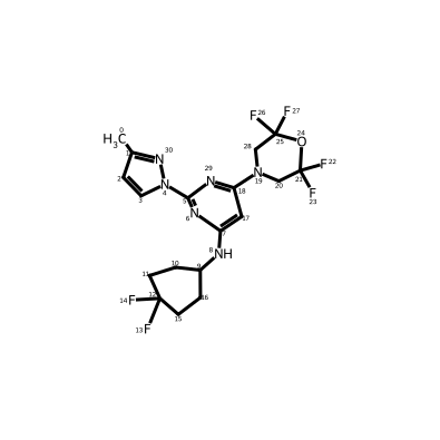 Cc1ccn(-c2nc(NC3CCC(F)(F)CC3)cc(N3CC(F)(F)OC(F)(F)C3)n2)n1